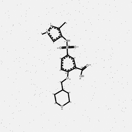 Cc1nn(C)cc1NS(=O)(=O)c1ccc(OCC2CCOCC2)c(C(=O)O)c1